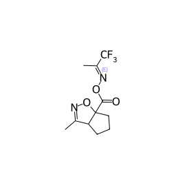 CC1=NOC2(C(=O)O/N=C(\C)C(F)(F)F)CCCC12